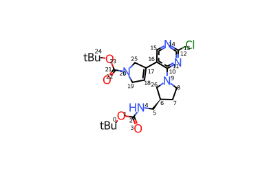 CC(C)(C)OC(=O)NC[C@@H]1CCN(c2nc(Cl)ncc2C2=CCN(C(=O)OC(C)(C)C)C2)C1